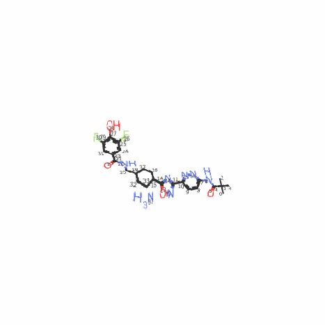 CC(C)(C)C(=O)Nc1ccc(-c2noc(C3CCC(CNC(=O)c4cc(F)c(O)c(F)c4)CC3)n2)nn1.N